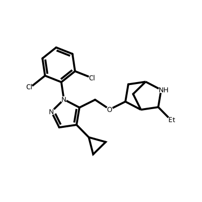 CCC1NC2CC(OCc3c(C4CC4)cnn3-c3c(Cl)cccc3Cl)C1C2